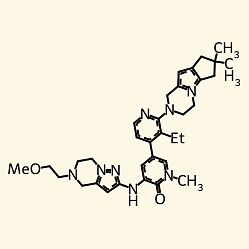 CCc1c(-c2cc(Nc3cc4n(n3)CCN(CCOC)C4)c(=O)n(C)c2)ccnc1N1CCn2c(cc3c2CC(C)(C)C3)C1